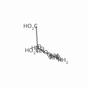 NOCC(=O)NCCNC(=O)COCCOCCNC(=O)CC[C@H](NC(=O)CCCCCCCCCCCCCCCCC(=O)O)C(=O)O